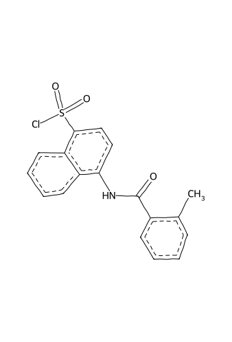 Cc1ccccc1C(=O)Nc1ccc(S(=O)(=O)Cl)c2ccccc12